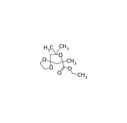 CCOC(=O)C1(C)CC2(CC(C)(C)O1)OCCO2